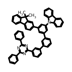 CC1(C)c2ccccc2-c2ccc(-c3cc(-c4cccc(-c5cccc(-c6nc(-c7ccccc7)nc(-c7ccccc7)n6)c5)c4)cc(-n4c5ccccc5c5ccccc54)c3)cc21